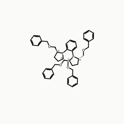 c1ccc(COC[C@@H]2CC[C@@H](COCc3ccccc3)P2c2ccccc2P2[C@H](COCc3ccccc3)CC[C@H]2COCc2ccccc2)cc1